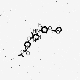 Cc1c(Nc2ccc(OCC3CCCO3)cc2F)ncnc1OC1CCN(C(=O)OC(C)C)CC1